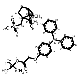 CC(C)(C)OC(=O)COc1ccc([S+](c2ccccc2)c2ccccc2)cc1.CC1(C)C2CCC1(CS(=O)(=O)[O-])C(=O)C2